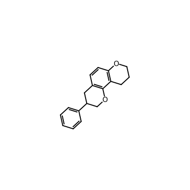 c1ccc(C2COc3c(ccc4c3CCCO4)C2)cc1